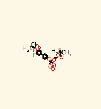 C=C(C)C(=O)OCCOCC1(COc2ccc(-c3ccc(OC(=O)C(=C)C)c(F)c3)cc2)COC(=O)OC1